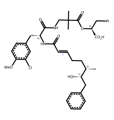 COc1ccc(C[C@@H](NC(=O)/C=C/CC[C@H](C)[C@@H](O)Cc2ccccc2)C(=O)NCC(C)(C)C(=O)O[C@@H](CC(C)C)C(=O)O)cc1Cl